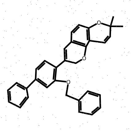 CC1(C)C=Cc2c(ccc3c2OCC(c2ccc(-c4ccccc4)cc2OCc2ccccc2)=C3)O1